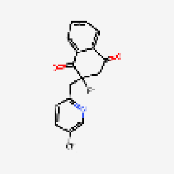 CCC1(Cc2ccc(C(F)(F)F)cn2)CC(=O)c2ccccc2C1=O